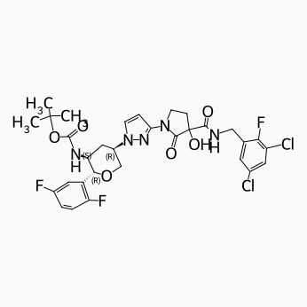 CC(C)(C)OC(=O)N[C@H]1C[C@@H](n2ccc(N3CCC(O)(C(=O)NCc4cc(Cl)cc(Cl)c4F)C3=O)n2)CO[C@@H]1c1cc(F)ccc1F